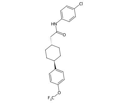 O=C(C[C@H]1CC[C@H](c2ccc(OC(F)(F)F)cc2)CC1)Nc1ccc(Cl)cc1